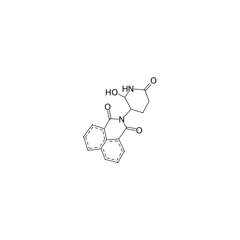 O=C1CCC(N2C(=O)c3cccc4cccc(c34)C2=O)C(O)N1